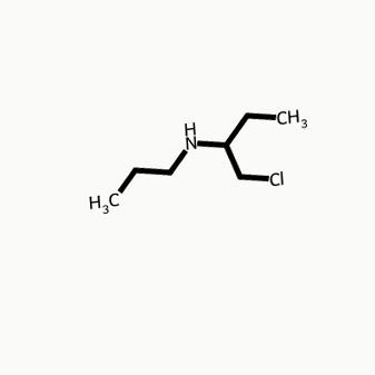 CCCNC(CC)CCl